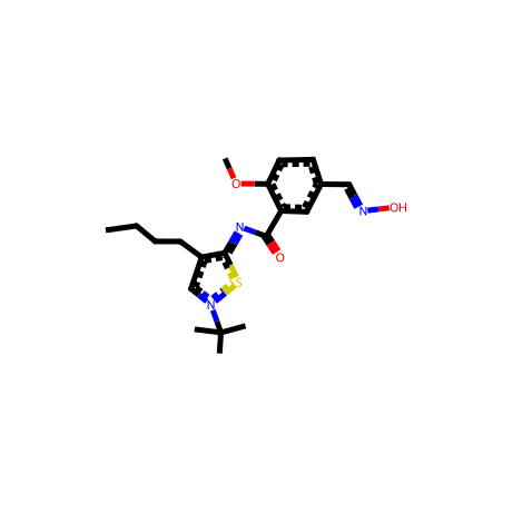 CCCCc1cn(C(C)(C)C)s/c1=N\C(=O)c1cc(/C=N/O)ccc1OC